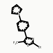 CCc1nc(-c2ccc(-n3cccc3)cc2)c(C(F)(F)F)s1